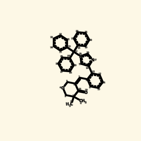 CC1(C)COCC(=Cc2ccccc2-c2cn(C(c3ccccc3)(c3ccccc3)c3ccccc3)cn2)C1=O